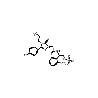 CCS(=O)(=O)NCC(NC(=O)Cn1nc(-c2ccc(Cl)cc2)n(CCC(F)(F)F)c1=O)c1ccccc1C(F)(F)F